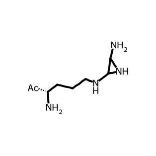 CC(=O)[C@@H](N)CCCNC1NC1N